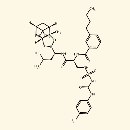 CCCCc1cccc(C(=O)N[C@@H](CNS(=O)(=O)NC(=O)Nc2ccc(C)cc2)C(=O)N[C@@H](CC(C)C)B2O[C@@H]3C[C@@H]4C[C@@H](C4(C)C)[C@]3(C)O2)c1